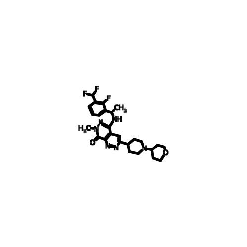 C[C@@H](Nc1nn(C)c(=O)c2nnc(C3CCN(C4CCOCC4)CC3)cc12)c1cccc(C(F)F)c1F